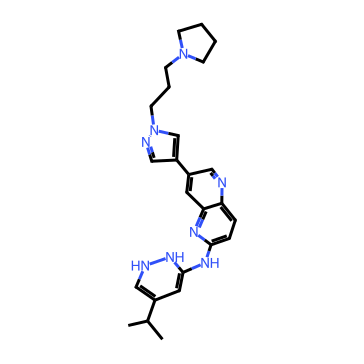 CC(C)C1=CNNC(Nc2ccc3ncc(-c4cnn(CCCN5CCCC5)c4)cc3n2)=C1